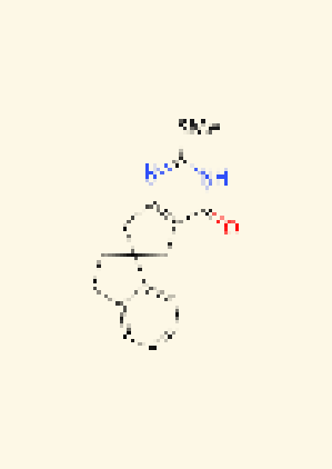 CSc1nc2c(c(=O)[nH]1)CC1(CCc3ccccc31)C2